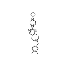 Cc1ccc(CN2CCc3cnc(N4CCN(C5CCC5)CC4)nc3CC2)cc1C